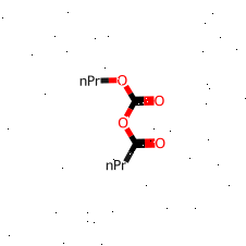 CCCOC(=O)OC(=O)CCC